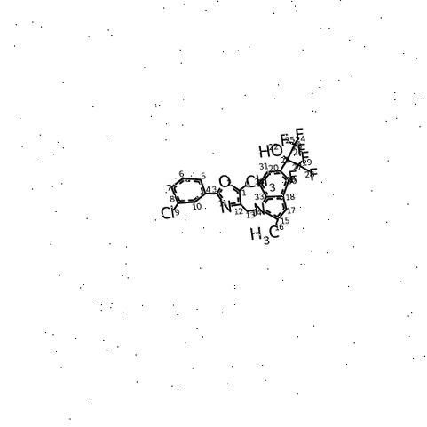 Cc1oc(-c2cccc(Cl)c2)nc1Cn1c(C)cc2cc(C(O)(C(F)(F)F)C(F)(F)F)ccc21